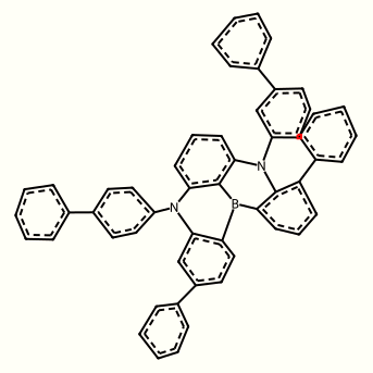 c1ccc(-c2ccc(N3c4cc(-c5ccccc5)ccc4B4c5cccc(-c6ccccc6)c5N(c5cccc(-c6ccccc6)c5)c5cccc3c54)cc2)cc1